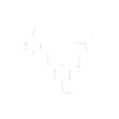 C[C@H](Nc1nc(C(=O)N2CC[C@H](O)C2)c2sccc2n1)c1cncc(F)c1